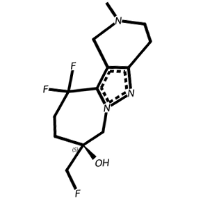 CN1CCc2nn3c(c2C1)C(F)(F)CC[C@@](O)(CF)C3